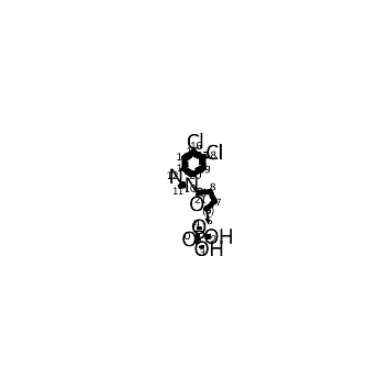 O=P(O)(O)OC[C@@H]1CC[C@H](n2cnc3cc(Cl)c(Cl)cc32)O1